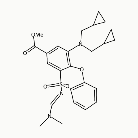 COC(=O)c1cc(N(CC2CC2)CC2CC2)c(Oc2ccccc2)c(S(=O)(=O)N=CN(C)C)c1